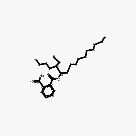 CCCCCCCCCCC(OC(=O)c1ccccc1C(=O)O)C(CC)CCCC